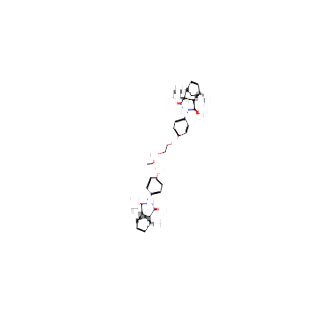 CC(OCCOc1ccc(N2C(=O)[C@@H]3[C@H](C2=O)[C@H]2C=C[C@@H]3C2)cc1)Oc1ccc(N2C(=O)C3[C@@H]4C=C[C@@H](C4)[C@H]3C2=O)cc1